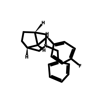 Fc1ccc(N[C@@H]2[C@@H]3CC[C@H]2CN(Cc2ccccc2)C3)cc1